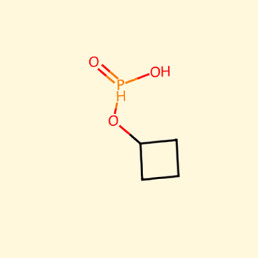 O=[PH](O)OC1CCC1